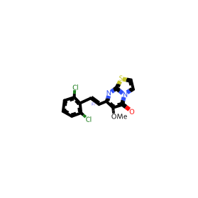 COc1c(/C=C/c2c(Cl)cccc2Cl)nc2sccn2c1=O